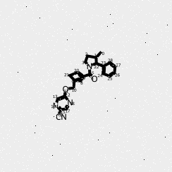 CC1CCN(C(=O)C2CC3(COc4cnc(C#N)cn4)CC2C3)C1c1ccccc1